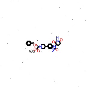 Cn1c(=O)n([C@H]2CCC(=O)NC2=O)c2ccc(C3CCN([C@@H](COCc4ccccc4)C(=O)OC(C)(C)C)CC3)cc21